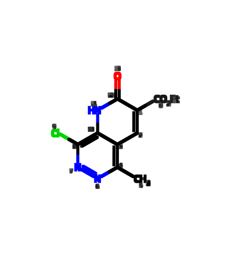 CCOC(=O)c1cc2c(C)nnc(Cl)c2[nH]c1=O